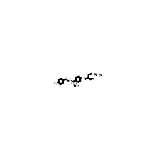 CC(C)(C)OC(=O)N1CCC(COc2ccc3c(NCCc4ccc(N)cc4)ncnc3c2)CC1